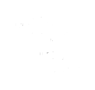 CC(Cc1ccc(N)cc1)NC[C@H](O)c1cccc(Cl)c1